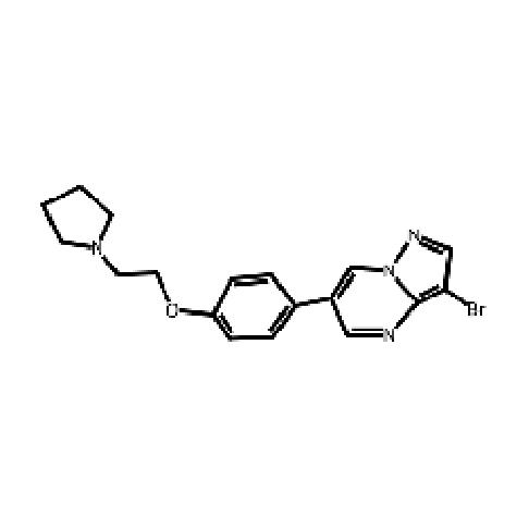 Brc1cnn2cc(-c3ccc(OCCN4CCCC4)cc3)cnc12